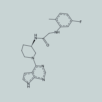 Cc1ccc(F)cc1NCC(=O)N[C@@H]1CCCN(c2ncnc3[nH]ccc23)C1